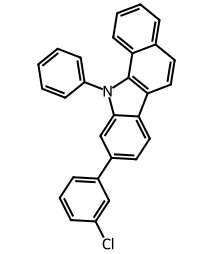 Clc1cccc(-c2ccc3c4ccc5ccccc5c4n(-c4ccccc4)c3c2)c1